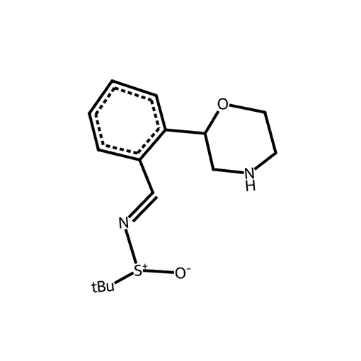 CC(C)(C)[S+]([O-])/N=C/c1ccccc1C1CNCCO1